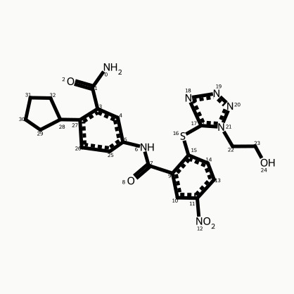 NC(=O)c1cc(NC(=O)c2cc([N+](=O)[O-])ccc2Sc2nnnn2CCO)ccc1C1CCCC1